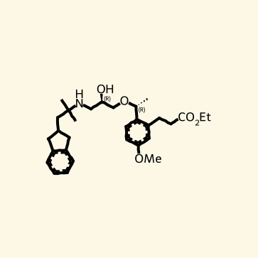 CCOC(=O)CCc1cc(OC)ccc1[C@@H](C)OC[C@H](O)CNC(C)(C)CC1Cc2ccccc2C1